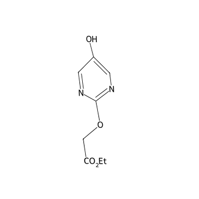 CCOC(=O)COc1ncc(O)cn1